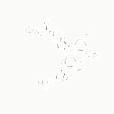 Cc1cnn(-c2nc(-c3cc4n(n3)CCN(C(=O)OC(C)(C)C)C4)c(-c3ccc(F)cc3OC(C)C)c3sccc23)c1